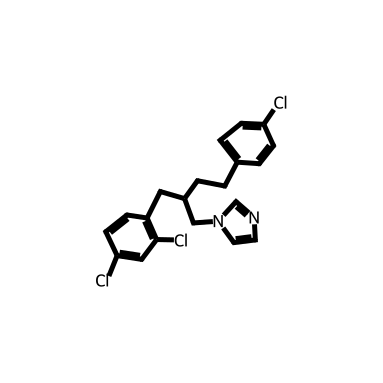 Clc1ccc(CCC(Cc2ccc(Cl)cc2Cl)Cn2ccnc2)cc1